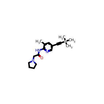 Cc1cc(C#C[Si](C)(C)C)cnc1NC(=O)CN1CCCC1